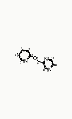 [c]1nccc(OCc2cnccn2)n1